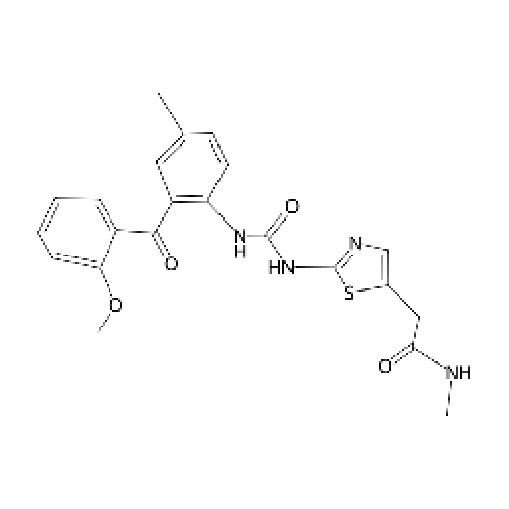 CNC(=O)Cc1cnc(NC(=O)Nc2ccc(C)cc2C(=O)c2ccccc2OC)s1